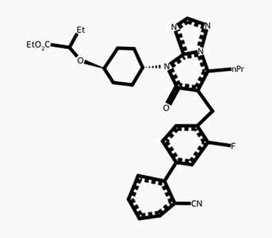 CCCc1c(Cc2ccc(-c3ccccc3C#N)cc2F)c(=O)n([C@H]2CC[C@H](OC(CC)C(=O)OCC)CC2)c2ncnn12